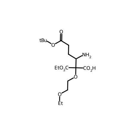 CCOCCOC(C(=O)O)(C(=O)OCC)C(N)CCC(=O)OC(C)(C)C